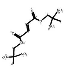 CC(COC(=O)C=CC(=O)OCC(C)([N+](=O)[O-])[N+](=O)[O-])([N+](=O)[O-])[N+](=O)[O-]